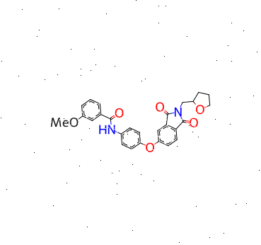 COc1cccc(C(=O)Nc2ccc(Oc3ccc4c(c3)C(=O)N(CC3CCCO3)C4=O)cc2)c1